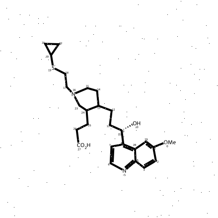 COc1ccc2nccc([C@@H](O)CCC3CCN(CCSC4CC4)CC3CCC(=O)O)c2c1